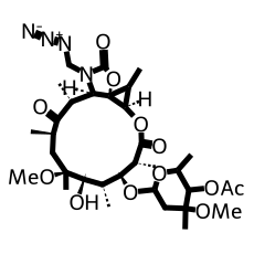 COC1(C)CC(O[C@H]2[C@H](C)[C@@H](O)[C@@](C)(OC)C[C@@H](C)C(=O)[C@H](C)[C@H]3N(CN=[N+]=[N-])C(=O)O[C@@]34C(C)[C@H]4OC(=O)[C@@H]2C)OC(C)C1OC(C)=O